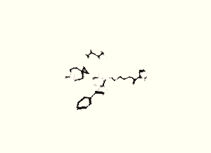 CN1CCC2(CC1)C[C@@H]2C(=O)N[C@@H](CCCCCC(=O)c1ccon1)c1nc(Cl)c(-c2ccc(F)cc2)[nH]1.O=C(O)C(O)C(O)C(=O)O